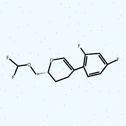 Fc1ccc(C2=CO[C@@H](COC(F)F)CC2)c(F)c1